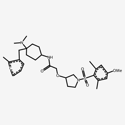 COc1cc(C)c(S(=O)(=O)N2CCC(OCC(=O)NC3CCC(Cc4ccccc4C)(N(C)C)CC3)C2)c(C)c1